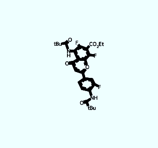 CCOC(=O)c1c(F)c(NC(=O)C(C)(C)C)c2c(=O)cc(-c3ccc(NC(=O)C(C)(C)C)c(F)c3)oc2c1F